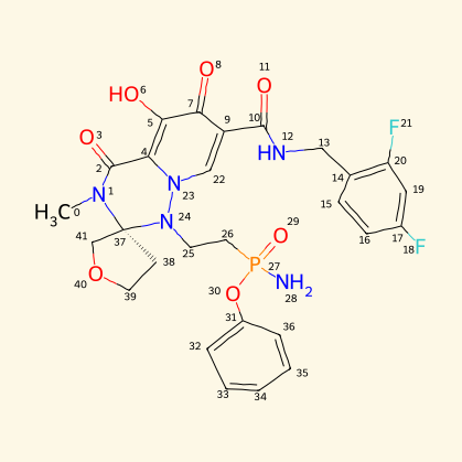 CN1C(=O)c2c(O)c(=O)c(C(=O)NCc3ccc(F)cc3F)cn2N(CCP(N)(=O)Oc2ccccc2)[C@]12CCOC2